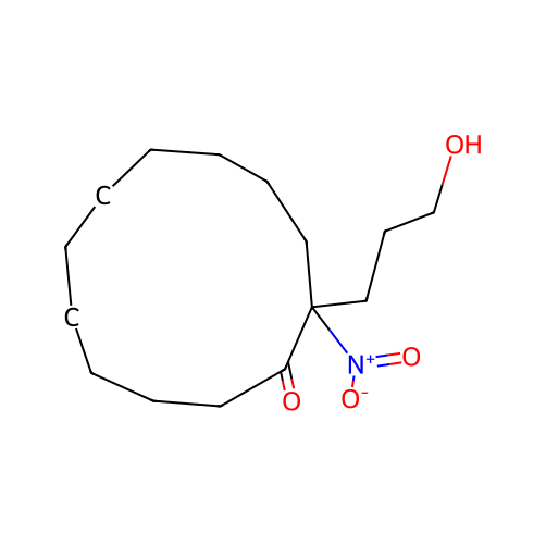 O=C1CCCCCCCCCCC1(CCCO)[N+](=O)[O-]